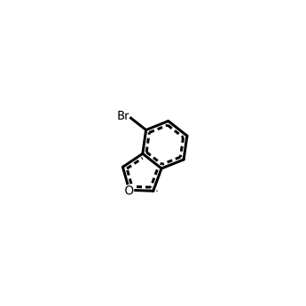 Brc1cccc2[c]occ12